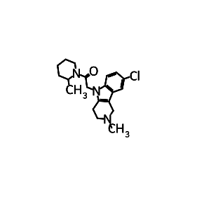 CC1CCCCN1C(=O)Cn1c2c(c3cc(Cl)ccc31)CN(C)CC2